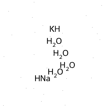 O.O.O.O.[KH].[NaH]